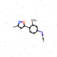 COc1cc(N=C=S)ccc1-c1cc(C)no1